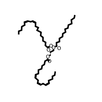 CCCCC/C=C\C/C=C\C/C=C\CCCCCCC(=O)OC[C@@H](COC(=O)CCCCCCCCCCCCC)OC(=O)CCCCCCCCC/C=C\C/C=C\CCCCC